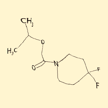 CC(C)OC(=O)N1CCC(F)(F)CC1